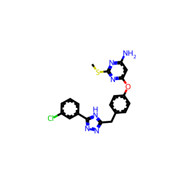 CSc1nc(N)cc(Oc2ccc(Cc3nnc(-c4cccc(Cl)c4)[nH]3)cc2)n1